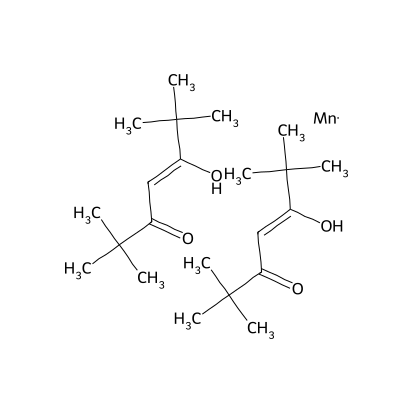 CC(C)(C)C(=O)/C=C(\O)C(C)(C)C.CC(C)(C)C(=O)/C=C(\O)C(C)(C)C.[Mn]